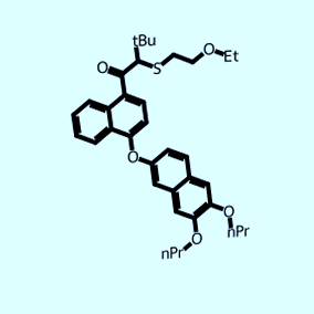 CCCOc1cc2ccc(Oc3ccc(C(=O)C(SCCOCC)C(C)(C)C)c4ccccc34)cc2cc1OCCC